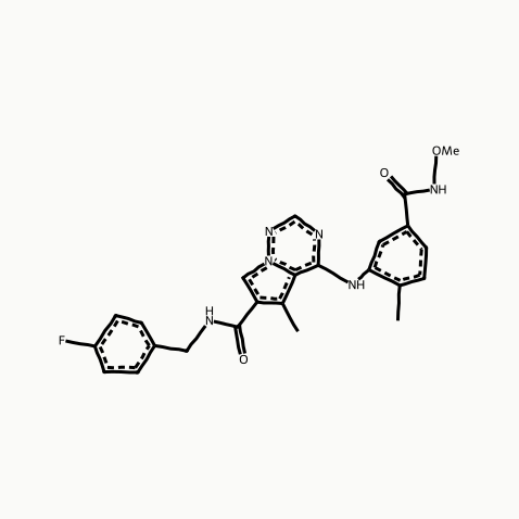 CONC(=O)c1ccc(C)c(Nc2ncnn3cc(C(=O)NCc4ccc(F)cc4)c(C)c23)c1